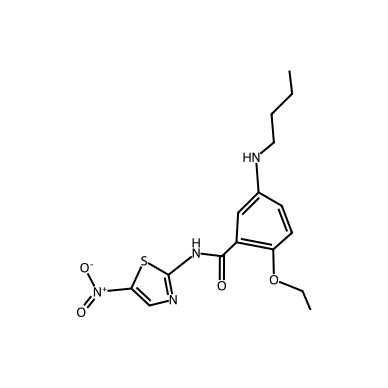 CCCCNc1ccc(OCC)c(C(=O)Nc2ncc([N+](=O)[O-])s2)c1